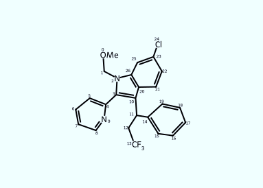 COCn1c(-c2ccccn2)c(C(CC(F)(F)F)c2ccccc2)c2ccc(Cl)cc21